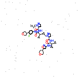 Cn1nccc1C(=O)N[C@H](C(=O)Nc1ccc(C2CCOCC2)c(F)c1)C(C1CC1)C1CC1Cn1nccc1C(=O)N[C@H](C(=O)Nc1cc(C2CCOCC2)on1)C(C1CC1)C1CC1